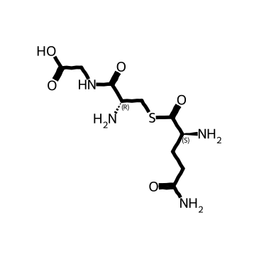 NC(=O)CC[C@H](N)C(=O)SC[C@H](N)C(=O)NCC(=O)O